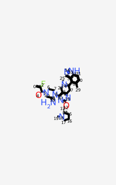 C=C(F)C(=O)N1CCN(c2nc(OC[C@@H]3CCCN3C)nc3c2CN(C)C(c2c(C)ccc4[nH]ncc24)C3)[C@@H](N)C1